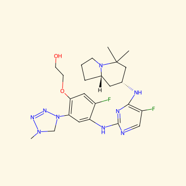 CN1CN(c2cc(Nc3ncc(F)c(N[C@@H]4C[C@@H]5CCCN5C(C)(C)C4)n3)c(F)cc2OCCO)N=N1